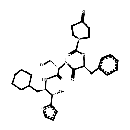 CC(C)C[C@H](NC(=O)[C@H](Cc1ccccc1)OC(=O)N1CCC(=O)CC1)C(=O)N[C@H](CC1CCCCC1)[C@H](O)c1ccco1